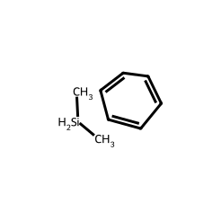 C[SiH2]C.c1ccccc1